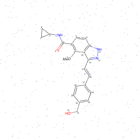 COc1c(C(=O)NC2CC2)ccc2[nH]nc(/C=C/c3ccc(CO)cc3)c12